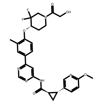 COc1ccc([C@@H]2C[C@H]2C(=O)Nc2cc(-c3ccc(O[C@H]4CCN(C(=O)CO)CC4(F)F)c(C)c3)ncn2)cn1